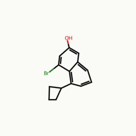 Oc1cc(Br)c2c(C3CCC3)cccc2c1